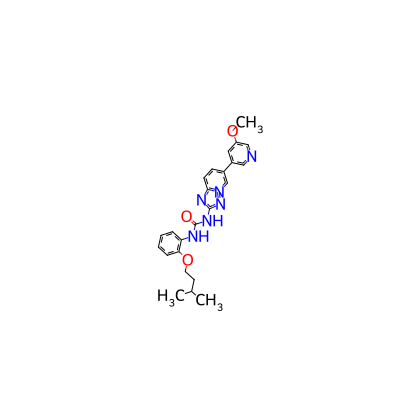 COc1cncc(-c2ccc3nc(NC(=O)Nc4ccccc4OCCC(C)C)nn3c2)c1